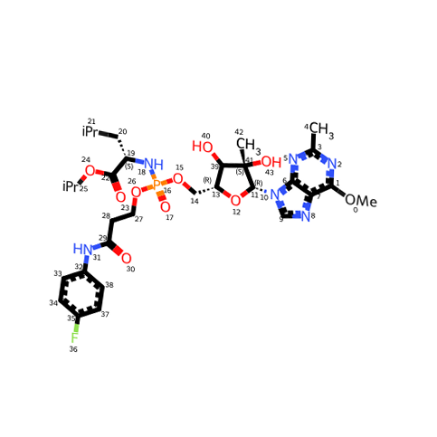 COc1nc(C)nc2c1ncn2[C@@H]1O[C@H](COP(=O)(N[C@@H](CC(C)C)C(=O)OC(C)C)OCCC(=O)Nc2ccc(F)cc2)C(O)[C@]1(C)O